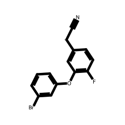 N#C[CH]c1ccc(F)c(Oc2cccc(Br)c2)c1